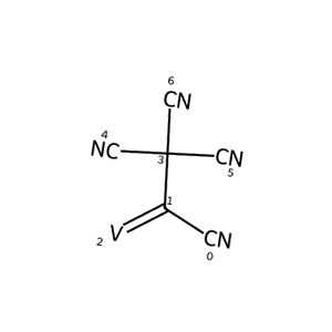 N#C[C](=[V])C(C#N)(C#N)C#N